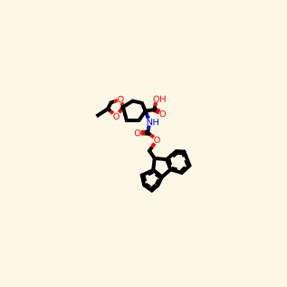 CC1COC2(CCC(NC(=O)OCC3c4ccccc4-c4ccccc43)(C(=O)O)CC2)O1